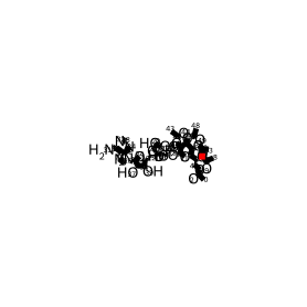 CC(=O)OC[C@H](OC(C)=O)C1O[C@@H](OP(=O)(O)OP(=O)(O)OC[C@H]2O[C@@H](n3cnc4c(N)ncnc43)[C@@H](O)[C@H]2O)C(OC(C)=O)C(OC(C)=O)[C@@H]1OC(C)=O